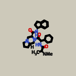 CN[C@@H](C)C(=O)N[C@H](C(=O)N1C[C@H]2CCCN2C[C@H]1C(=O)N[C@@H]1CCc2ccccc21)C1CCCCC1